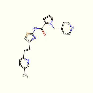 Cc1ccc(/C=C/c2csc(NC(=O)c3cccn3Cc3ccncc3)n2)nc1